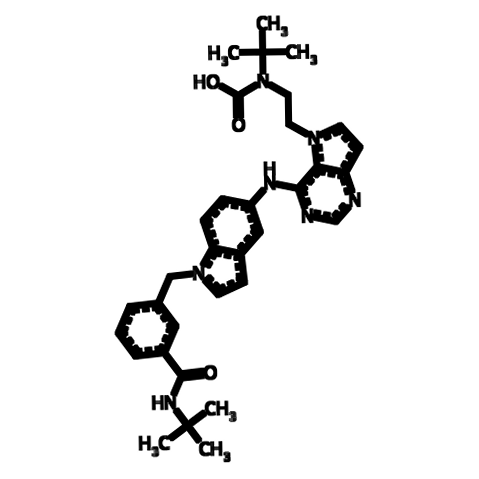 CC(C)(C)NC(=O)c1cccc(Cn2ccc3cc(Nc4ncnc5ccn(CCN(C(=O)O)C(C)(C)C)c45)ccc32)c1